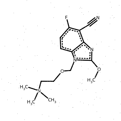 COc1nc2c(C#N)c(F)ccc2n1COCC[Si](C)(C)C